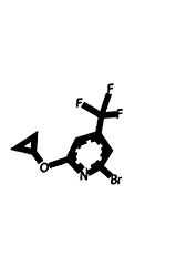 FC(F)(F)c1cc(Br)nc(OC2CC2)c1